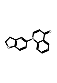 O=c1ccn(-c2ccc3c(c2)CCO3)c2ccccc12